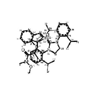 CON(C)C(=O)C(C)Oc1ccccc1[CH]=[Ru-4]([Cl])([Cl])=[C]1N(c2c(C(C)C)cccc2C(C)C)CCN1c1c(C(C)C)cccc1C(C)C